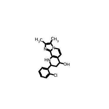 Cc1nc2c3c(ccn2c1C)C(O)CC(c1ccccc1Cl)N3